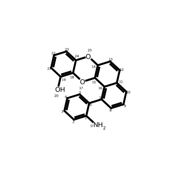 Nc1ccccc1-c1cccc2ccc3c(c12)Oc1c(O)cccc1O3